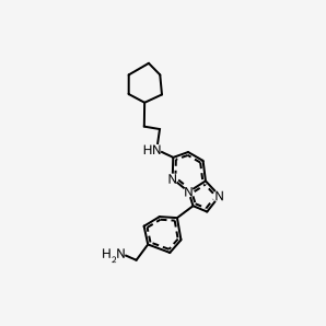 NCc1ccc(-c2cnc3ccc(NCCC4CCCCC4)nn23)cc1